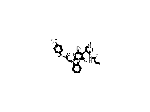 C=CC(=O)Nc1nn(C)cc1-c1c(CC)nc2n(CC(=O)Nc3ccc(C(F)(F)F)cc3)c3ccccc3n2c1=O